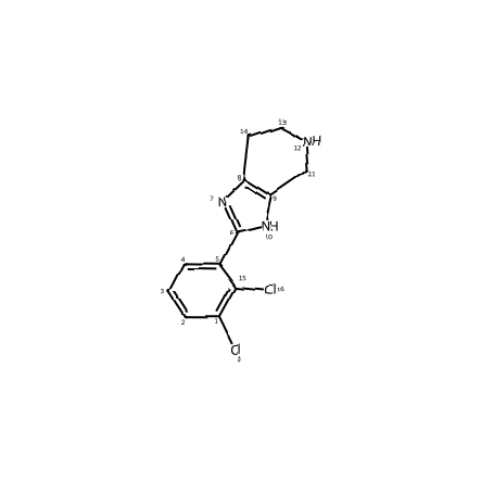 Clc1cccc(-c2nc3c([nH]2)CNCC3)c1Cl